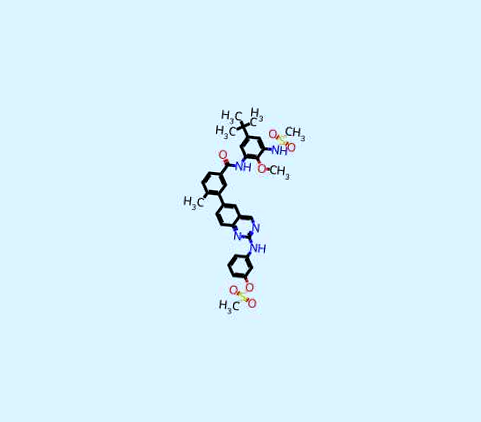 COc1c(NC(=O)c2ccc(C)c(-c3ccc4nc(Nc5cccc(OS(C)(=O)=O)c5)ncc4c3)c2)cc(C(C)(C)C)cc1NS(C)(=O)=O